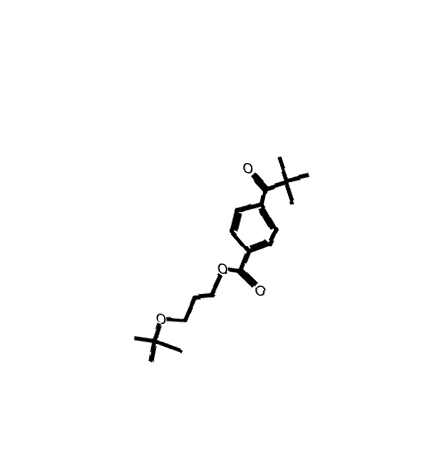 CC(C)(C)OCCCOC(=O)c1ccc(C(=O)C(C)(C)C)cc1